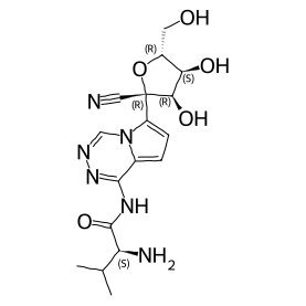 CC(C)[C@H](N)C(=O)Nc1nncn2c([C@]3(C#N)O[C@H](CO)[C@@H](O)[C@H]3O)ccc12